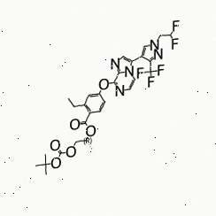 CCc1cc(Oc2nccn3c(-c4cn(CC(F)F)nc4C(F)(F)F)cnc23)ccc1C(=O)O[C@H](C)COC(=O)OC(C)(C)C